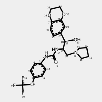 O=C(Nc1ccc(OC(F)(F)F)cc1)NC(CN1CCCC1)[C@H](O)c1ccc2c(c1)OCCO2